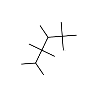 [CH2]C(C)(C)C(C)C(C)(C)C(C)C